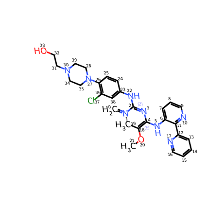 C=N/C(=N\C(Nc1cccnc1-c1ccccn1)=C(/C)OC)Nc1ccc(N2CCN(CCO)CC2)c(Cl)c1